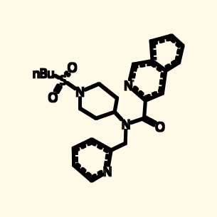 CCCCS(=O)(=O)N1CCC(N(Cc2ccccn2)C(=O)c2cc3ccccc3cn2)CC1